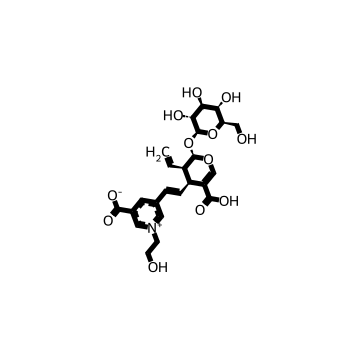 C=C[C@H]1[C@H](O[C@@H]2O[C@H](CO)[C@@H](O)[C@H](O)[C@H]2O)OC=C(C(=O)O)[C@H]1/C=C/c1cc(C(=O)[O-])c[n+](CCO)c1